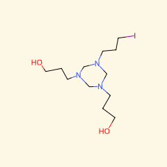 OCCCN1CN(CCCO)CN(CCCI)C1